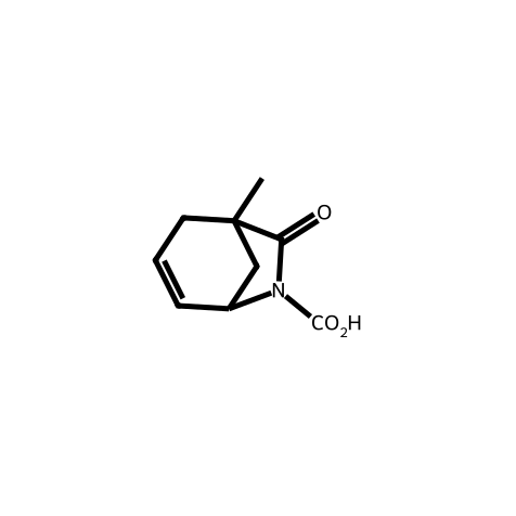 CC12CC=CC(C1)N(C(=O)O)C2=O